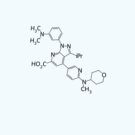 CC(C)c1nn(-c2cccc(N(C)C)c2)c2nc(C(=O)O)cc(-c3ccc(N(C)C4CCOCC4)nc3)c12